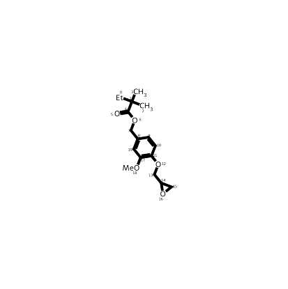 CCC(C)(C)C(=O)OCc1ccc(OCC2CO2)c(OC)c1